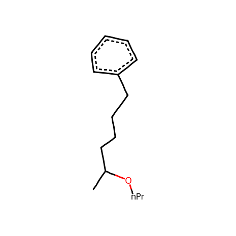 [CH2]CCOC(C)CCCCc1ccccc1